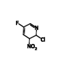 O=[N+]([O-])C1C=C(F)C=NC1Cl